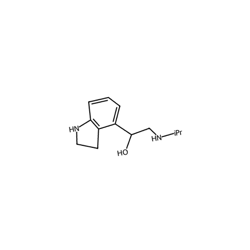 CC(C)NCC(O)c1cccc2c1CCN2